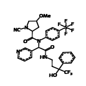 COC1CC(C(=O)N(c2ccc(S(F)(F)(F)(F)F)cc2)C(C(=O)NCCC(O)(c2ccccc2)C(F)(F)F)c2cccnc2)N(C#N)C1